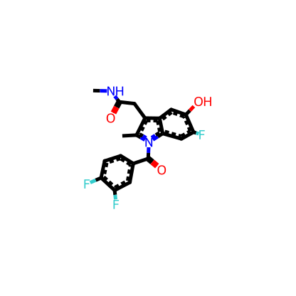 CNC(=O)Cc1c(C)n(C(=O)c2ccc(F)c(F)c2)c2cc(F)c(O)cc12